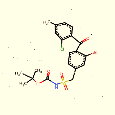 Cc1ccc(C(=O)c2ccc(CS(=O)(=O)NC(=O)OC(C)(C)C)cc2Br)c(Cl)c1